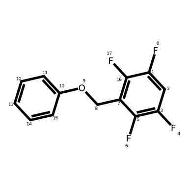 Fc1cc(F)c(F)c(COc2ccccc2)c1F